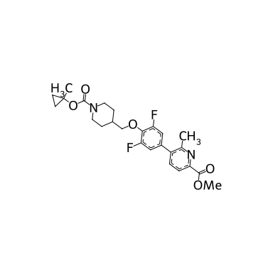 COC(=O)c1ccc(-c2cc(F)c(OCC3CCN(C(=O)OC4(C)CC4)CC3)c(F)c2)c(C)n1